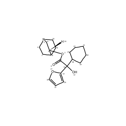 O=C(O[C@H]1CN2CCC1CC2)C(O)(c1ccco1)C1CCCCC1